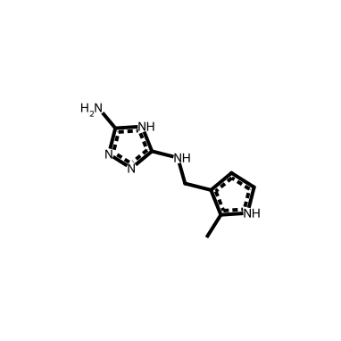 Cc1[nH]ccc1CNc1nnc(N)[nH]1